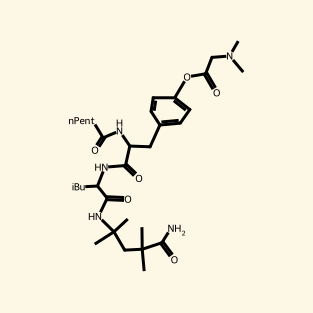 CCCCCC(=O)NC(Cc1ccc(OC(=O)CN(C)C)cc1)C(=O)NC(C(=O)NC(C)(C)CC(C)(C)C(N)=O)C(C)CC